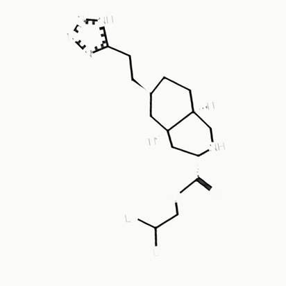 CCC(CC)COC(=O)[C@@H]1C[C@H]2C[C@@H](CCc3nnn[nH]3)CC[C@H]2CN1